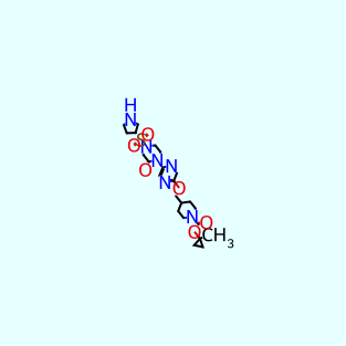 CC1(OC(=O)N2CCC(COc3cnc(N4CCN(S(=O)(=O)[C@H]5CCNC5)CC4=O)cn3)CC2)CC1